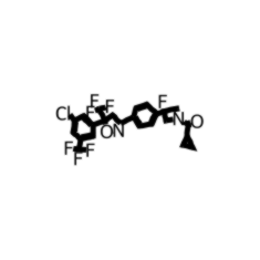 O=C(C1CC1)N1CC(F)(c2ccc(C3=NOC(c4cc(Cl)cc(C(F)(F)F)c4)(C(F)(F)F)C3)cc2)C1